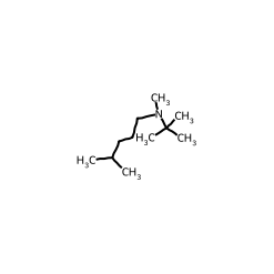 CC(C)CCCN(C)C(C)(C)C